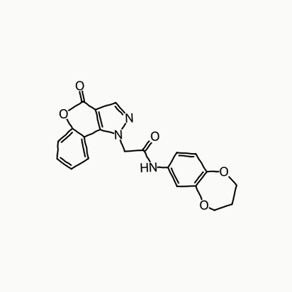 O=C(Cn1ncc2c(=O)oc3ccccc3c21)Nc1ccc2c(c1)OCCCO2